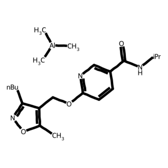 CCCCc1noc(C)c1COc1ccc(C(=O)NC(C)C)cn1.[CH3][Al]([CH3])[CH3]